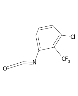 O=C=Nc1cccc(Cl)c1C(F)(F)F